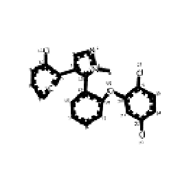 Cn1ncc(-c2ccccc2Cl)c1-c1ccccc1Oc1cc(Cl)ccc1Cl